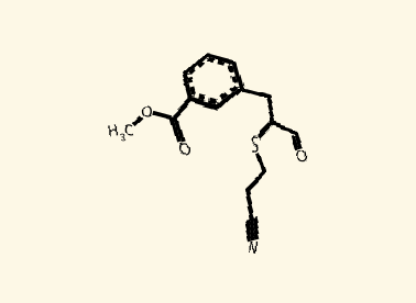 COC(=O)c1cccc(CC(C=O)SCCC#N)c1